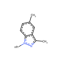 CCCn1nc(C)c2cc(C)ccc21